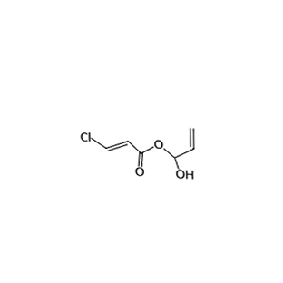 C=CC(O)OC(=O)C=CCl